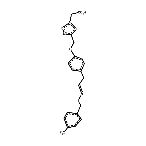 O=C(O)Cn1nnc(COc2ccc(CC=NOCc3ccc(C(F)(F)F)cc3)cn2)n1